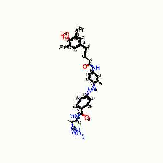 CC(C)c1cc(CCCC(=O)Nc2ccc(N=Nc3ccc(C(=O)NCCN)cc3)cc2)cc(C(C)C)c1O